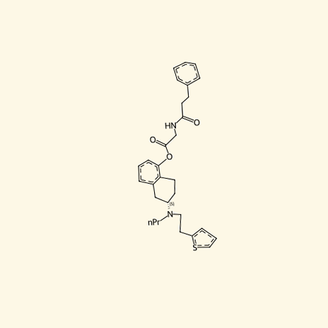 CCCN(CCc1cccs1)[C@H]1CCc2c(cccc2OC(=O)CNC(=O)CCc2ccccc2)C1